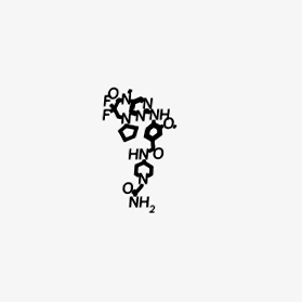 COc1cc(C(=O)NC2CCN(CC(N)=O)CC2)ccc1Nc1ncc2c(n1)N(C1CCCC1)CC(F)(F)C(=O)N2C